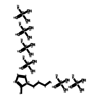 CCCCn1ccnc1C.O=P(O)(O)F.O=P(O)(O)F.O=P(O)(O)F.O=P(O)(O)F.O=P(O)(O)F.O=P(O)(O)F